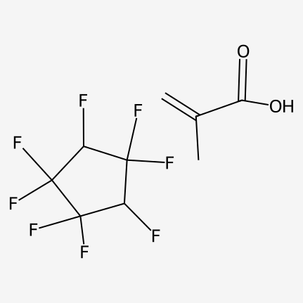 C=C(C)C(=O)O.FC1C(F)(F)C(F)C(F)(F)C1(F)F